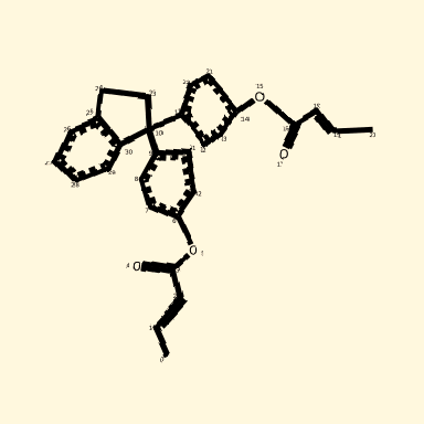 CC=CC(=O)Oc1ccc(C2(c3ccc(OC(=O)C=CC)cc3)CCc3ccccc32)cc1